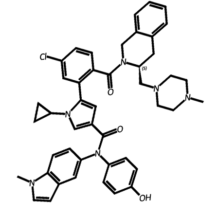 CN1CCN(C[C@@H]2Cc3ccccc3CN2C(=O)c2ccc(Cl)cc2-c2cc(C(=O)N(c3ccc(O)cc3)c3ccc4c(ccn4C)c3)cn2C2CC2)CC1